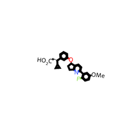 COc1ccc(F)c(-c2ccc3c(n2)CC[C@H]3Oc2cccc([C@@H](CC(=O)O)C3CC3)c2)c1